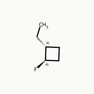 CC[C@@H]1CC[C@H]1F